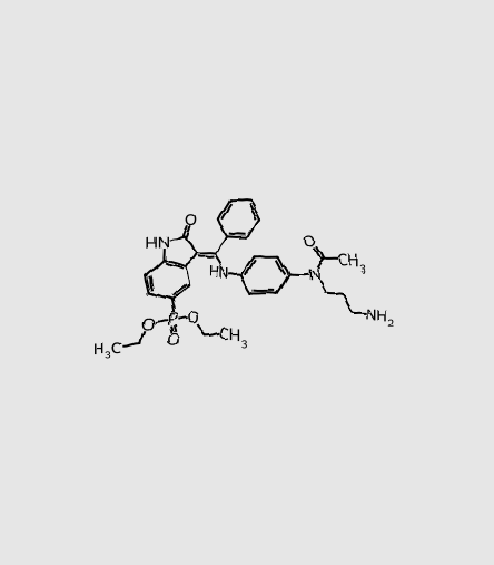 CCOP(=O)(OCC)c1ccc2c(c1)C(=C(Nc1ccc(N(CCCN)C(C)=O)cc1)c1ccccc1)C(=O)N2